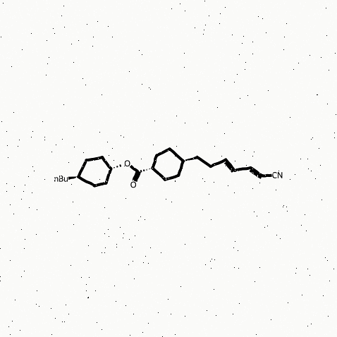 CCCC[C@H]1CC[C@H](OC(=O)[C@H]2CC[C@H](CCC=CC=CC#N)CC2)CC1